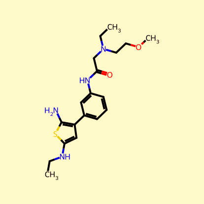 CCNc1cc(-c2cccc(NC(=O)CN(CC)CCOC)c2)c(N)s1